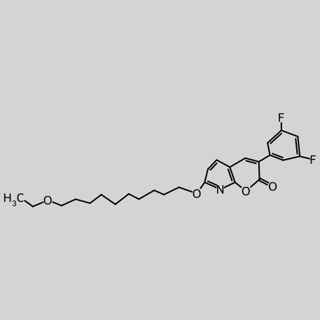 CCOCCCCCCCCCCOc1ccc2cc(-c3cc(F)cc(F)c3)c(=O)oc2n1